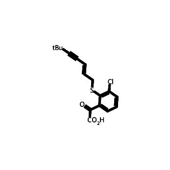 CC(C)(C)C#CC=CCSc1c(Cl)cccc1C(=O)C(=O)O